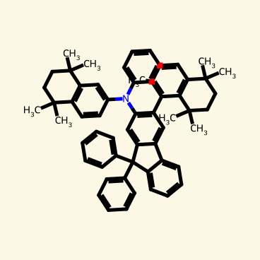 Cc1ccc2c(c1-c1cc3c(cc1N(c1ccccc1)c1ccc4c(c1)C(C)(C)CCC4(C)C)C(c1ccccc1)(c1ccccc1)c1ccccc1-3)C(C)(C)CCC2(C)C